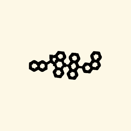 c1ccc2c(c1)N(c1c3ccccc3c(-c3ccc4ccc5ccccc5c4c3)c3ccccc13)c1cccc3nc(-c4ccc5ccccc5c4)n-2c13